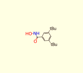 CC(C)(C)c1cc(C(=O)NO)cc(C(C)(C)C)c1